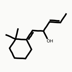 CC=CC(O)C=C1CCCCC1(C)C